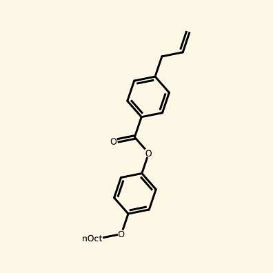 C=CCc1ccc(C(=O)Oc2ccc(OCCCCCCCC)cc2)cc1